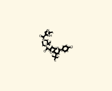 Cc1ncc(C(=O)N2CCN(C(=O)c3cc4nc(-c5ccc(Cl)cc5)cc(C(C)(C)C)c4o3)C(C)(C)C2)[nH]1